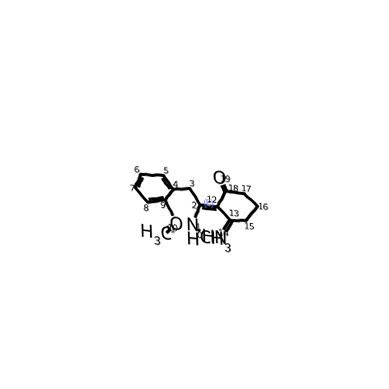 CN/C(Cc1ccccc1OC)=C1\C(=N)CCCC1=O